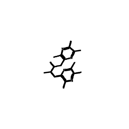 Cc1nc(C)c(CC(C)C(C)Cc2nc(C)c(C)nc2C)nc1C